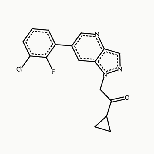 O=C(Cn1ncc2ncc(-c3cccc(Cl)c3F)cc21)C1CC1